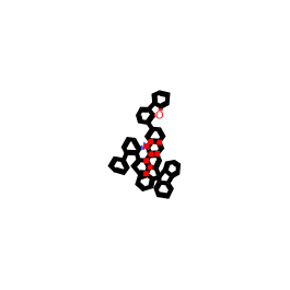 c1ccc(-c2ccccc2-c2c(-c3ccccc3)cccc2N(c2cccc(-c3cccc4c3oc3ccccc34)c2)c2ccc3c(c2)-c2ccccc2C32c3ccccc3-c3ccccc32)cc1